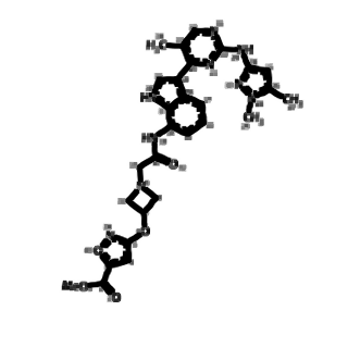 COC(=O)c1cc(OC2CN(CC(=O)Nc3cccc4c(-c5nc(Nc6cc(C)n(C)n6)ncc5C)c[nH]c34)C2)no1